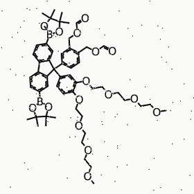 COCCOCCOCCOc1ccc(C2(c3ccc(COC=O)c(COC=O)c3)c3cc(B4OC(C)(C)C(C)(C)O4)ccc3-c3ccc(B4OC(C)(C)C(C)(C)O4)cc32)cc1OCCOCCOCCOC